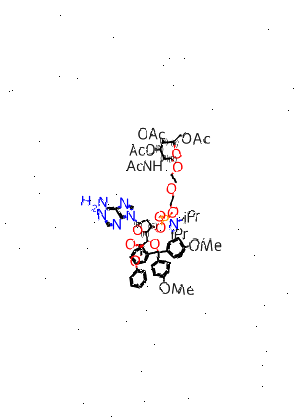 COc1ccc(C(OC(C(=O)COc2ccccc2)[C@H]2O[C@@H](n3cnc4c(N)ncnc43)C[C@@H]2OP(=O)(OCCOCCO[C@@H]2O[C@H](COC(C)=O)[C@H](OC(C)=O)[C@H](OC(C)=O)[C@H]2NC(C)=O)N(C(C)C)C(C)C)(c2ccccc2)c2ccc(OC)cc2)cc1